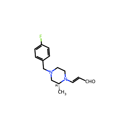 C[C@@H]1CN(Cc2ccc(F)cc2)CCN1C=CC=O